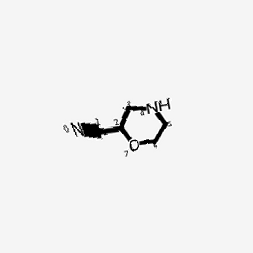 N#CC1[CH]NCCO1